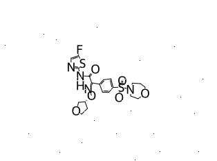 O=C(Nc1ncc(F)s1)/C(=N/O[C@@H]1CCOC1)c1ccc(S(=O)(=O)N2CCCOCC2)cc1